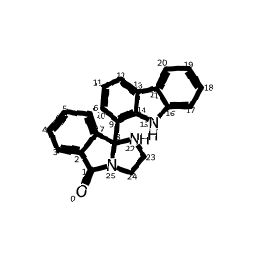 O=C1c2ccccc2C2(c3cccc4c3[nH]c3ccccc34)NCCN12